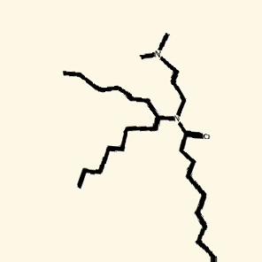 CCCCCCCCC(=O)N(CCCN(C)C)C(CCCCCC)CCCCCCC